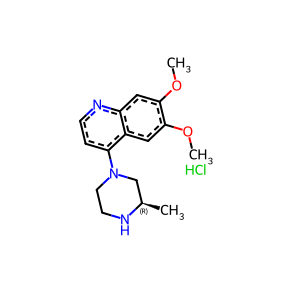 COc1cc2nccc(N3CCN[C@H](C)C3)c2cc1OC.Cl